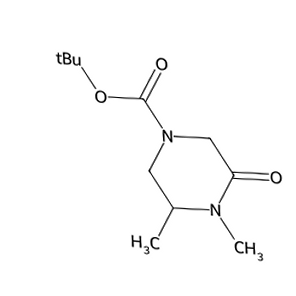 CC1CN(C(=O)OC(C)(C)C)CC(=O)N1C